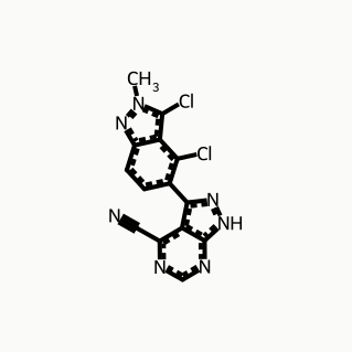 Cn1nc2ccc(-c3n[nH]c4ncnc(C#N)c34)c(Cl)c2c1Cl